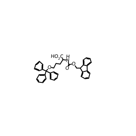 O=C(NC(CCCOC(c1ccccc1)(c1ccccc1)c1ccccc1)C(=O)O)OCC1c2ccccc2-c2ccccc21